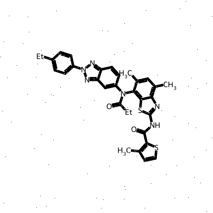 CCC(=O)N(c1ccc2nn(-c3ccc(CC)cc3)nc2c1)c1c(C)cc(C)c2nc(NC(=O)c3sccc3C)sc12